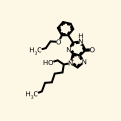 CCCCCCC(CO)n1cnc2c(=O)[nH]c(-c3ccccc3OCCC)nc21